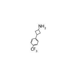 NC1CC(c2ccc(C(F)(F)F)cc2)C1